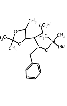 CC1OC(C)(C)OC1C(CC(=O)O)N(Cc1ccccc1)O[Si](C)(C)C(C)(C)C